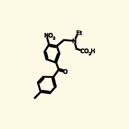 CCN(CC(=O)O)Cc1cc(C(=O)c2ccc(C)cc2)ccc1[N+](=O)[O-]